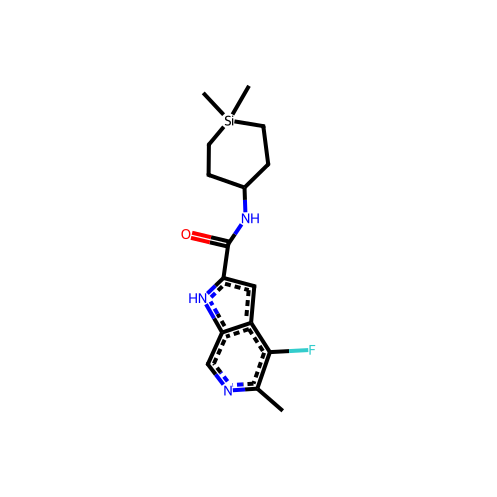 Cc1ncc2[nH]c(C(=O)NC3CC[Si](C)(C)CC3)cc2c1F